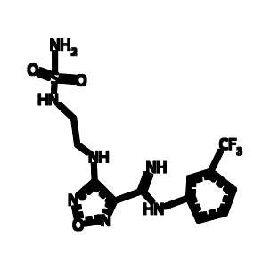 N=C(Nc1cccc(C(F)(F)F)c1)c1nonc1NCCNS(N)(=O)=O